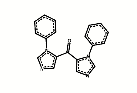 O=C(c1cncn1-c1ccccc1)c1cncn1-c1ccccc1